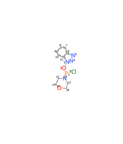 ClP(On1nnc2ccccc21)N1CCOCC1